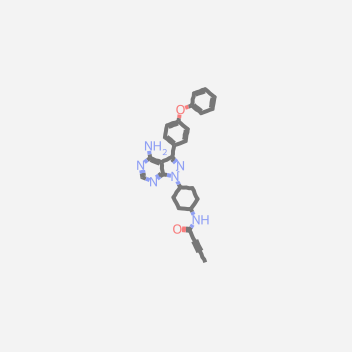 CC#CC(=O)NC1CCC(n2nc(-c3ccc(Oc4ccccc4)cc3)c3c(N)ncnc32)CC1